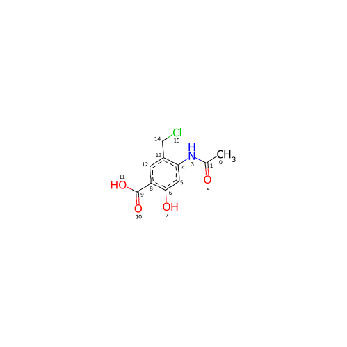 CC(=O)Nc1cc(O)c(C(=O)O)cc1CCl